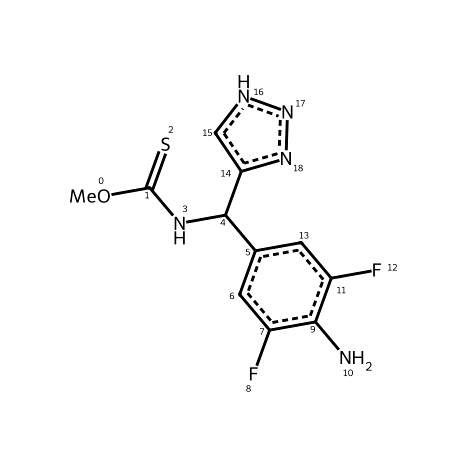 COC(=S)NC(c1cc(F)c(N)c(F)c1)c1c[nH]nn1